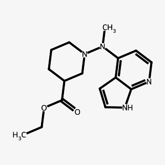 CCOC(=O)C1CCCN(N(C)c2ccnc3[nH]ccc23)C1